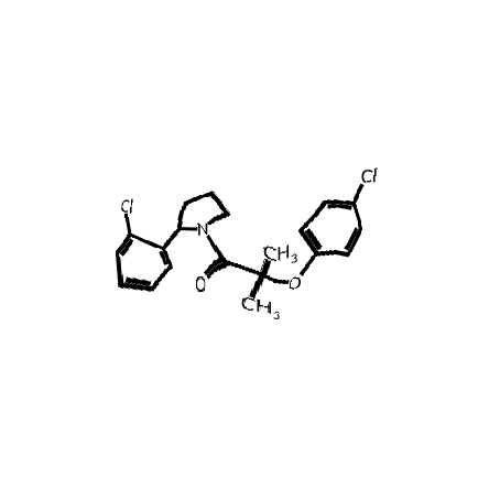 CC(C)(Oc1ccc(Cl)cc1)C(=O)N1CCCC1c1ccccc1Cl